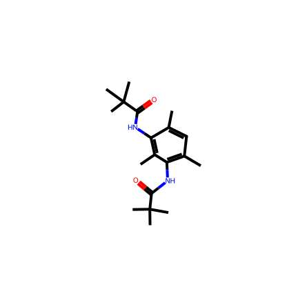 Cc1cc(C)c(NC(=O)C(C)(C)C)c(C)c1NC(=O)C(C)(C)C